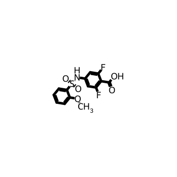 COc1ccccc1S(=O)(=O)Nc1cc(F)c(C(=O)O)c(F)c1